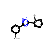 CCc1ccccc1-c1nc(-c2cccc(OC)c2)n[nH]1